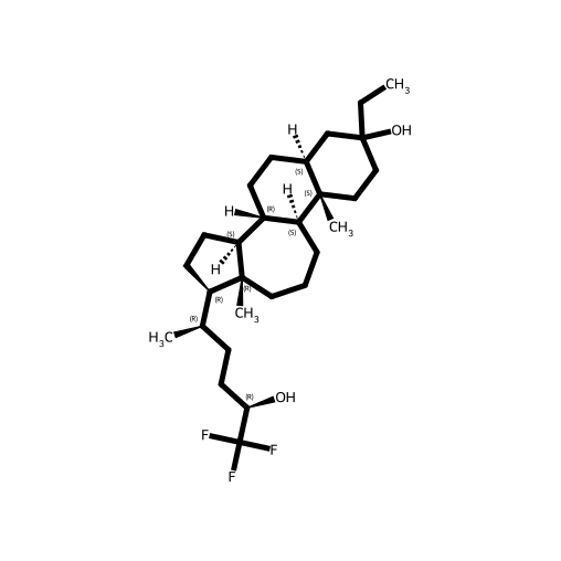 CCC1(O)CC[C@@]2(C)[C@@H](CC[C@@H]3[C@@H]2CCC[C@]2(C)[C@@H]([C@H](C)CC[C@@H](O)C(F)(F)F)CC[C@@H]32)C1